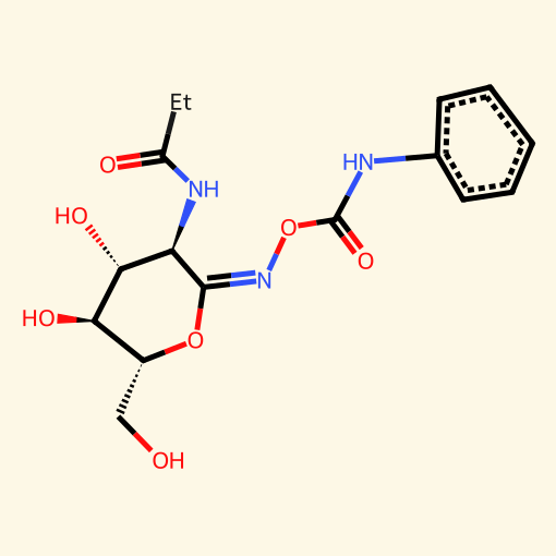 CCC(=O)N[C@H]1/C(=N\OC(=O)Nc2ccccc2)O[C@H](CO)[C@@H](O)[C@@H]1O